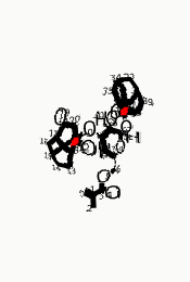 C=C(C)C(=O)OC[C@@H]1C[C@H](OC2(O)C3CC4CC5C(=O)C2CC45C3)[C@H]2OC3(O[C@H]2O1)C1CC2CC(C1)C(=O)C3C2